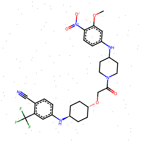 COc1cc(NC2CCN(C(=O)CO[C@H]3CC[C@H](Nc4ccc(C#N)c(C(F)(F)F)c4)CC3)CC2)ccc1[N+](=O)[O-]